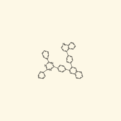 c1ccc(-c2nc(-c3ccccc3)nc(-c3ccc(-c4cc5ccccc5cc4-c4ccc(-c5ccnc6ccccc56)cc4)cc3)n2)cc1